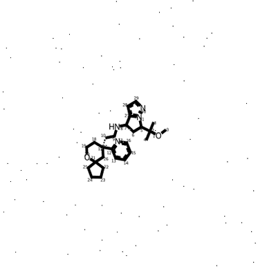 COC(C)(C)C1CC(NCC[C@@]2(c3ccccn3)CCOC3(CCCC3)C2)c2ccnn21